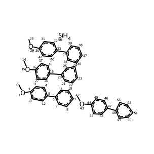 COc1ccc(-c2ccccc2)cc1.COc1ccc(-c2ccccc2)cc1.COc1ccc(-c2ccccc2)cc1.COc1ccc(-c2ccccc2)cc1.[SiH4]